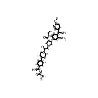 CCN(C(=O)[C@@H]1CCN(CC(=O)N2CC=C(c3ccc(C(=N)OC(=O)NC)cc3)CC2)C1)c1ccc(N)c(C(=N)c2ccc(OC)nc2)c1